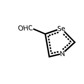 O=Cc1cnc[se]1